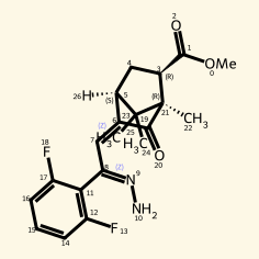 COC(=O)[C@@H]1C[C@@H]2/C(=C/C(=N/N)c3c(F)cccc3F)C(=O)[C@@]1(C)C2(C)C